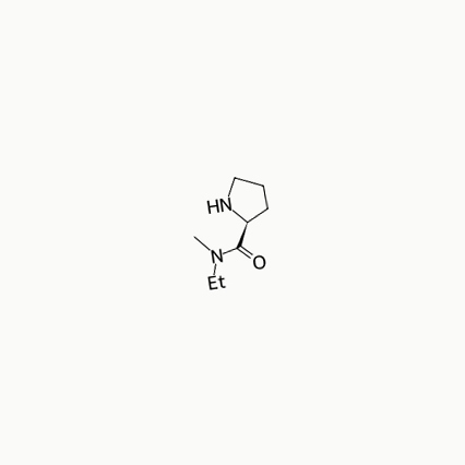 CCN(C)C(=O)[C@@H]1CCCN1